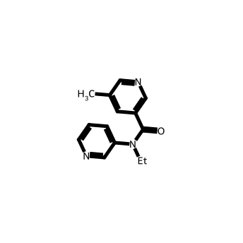 CCN(C(=O)c1cncc(C)c1)c1cccnc1